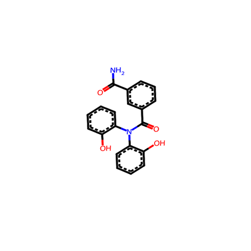 NC(=O)c1cccc(C(=O)N(c2ccccc2O)c2ccccc2O)c1